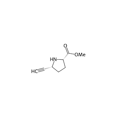 C#C[C@H]1CC[C@@H](C(=O)OC)N1